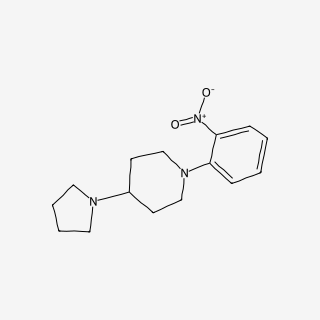 O=[N+]([O-])c1ccccc1N1CCC(N2CCCC2)CC1